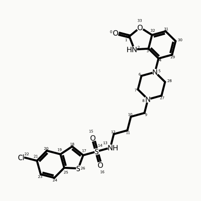 O=c1[nH]c2c(N3CCN(CCCCNS(=O)(=O)c4cc5cc(Cl)ccc5s4)CC3)cccc2o1